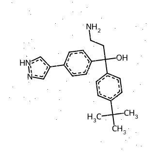 CC(C)(C)c1ccc(C(O)(CCN)c2ccc(-c3cn[nH]c3)cc2)cc1